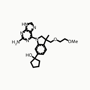 COCCOCC1(C)CN(c2nc(N)nc3[nH]cnc23)c2cc(C3(O)CCCC3)ccc21